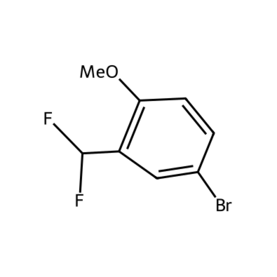 COc1ccc(Br)cc1C(F)F